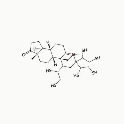 COC[C@@]12C(=CC(C(S)CS)(C(S)CS)CC1C(S)CS)CC[C@@H]1[C@H]2CC[C@]2(C)C(=O)CC[C@@H]12